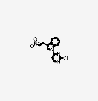 O=[N+]([O-])C=Cc1cn(-c2ccnc(Cl)n2)c2ccccc12